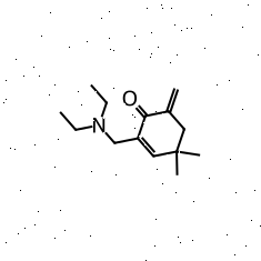 C=C1CC(C)(C)C=C(CN(CC)CC)C1=O